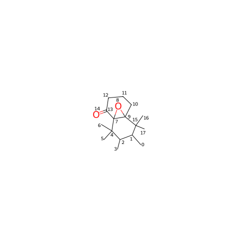 CC1C(C)C(C)(C)C23OC2(CCCC3=O)C1(C)C